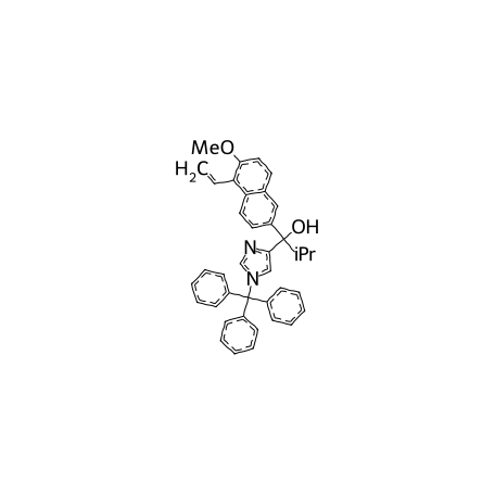 C=Cc1c(OC)ccc2cc(C(O)(c3cn(C(c4ccccc4)(c4ccccc4)c4ccccc4)cn3)C(C)C)ccc12